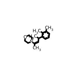 C/C(=C/C(C)c1cccc(C)c1C)N1CCOCC1